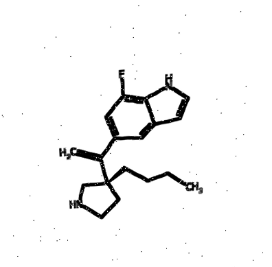 C=C(c1cc(F)c2[nH]ccc2c1)[C@]1(CCCC)CCNC1